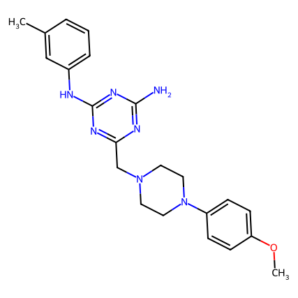 COc1ccc(N2CCN(Cc3nc(N)nc(Nc4cccc(C)c4)n3)CC2)cc1